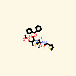 COC1(NC(=O)Cc2cccs2)C(=O)N2C(C(=O)OC(c3ccccc3)c3ccccc3)=C(COC(C)=O)CS[C@H]21